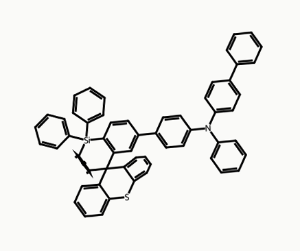 c1ccc(-c2ccc(N(c3ccccc3)c3ccc(-c4ccc5c(c4)C4(c6ccccc6Sc6ccccc64)c4ccccc4[Si]5(c4ccccc4)c4ccccc4)cc3)cc2)cc1